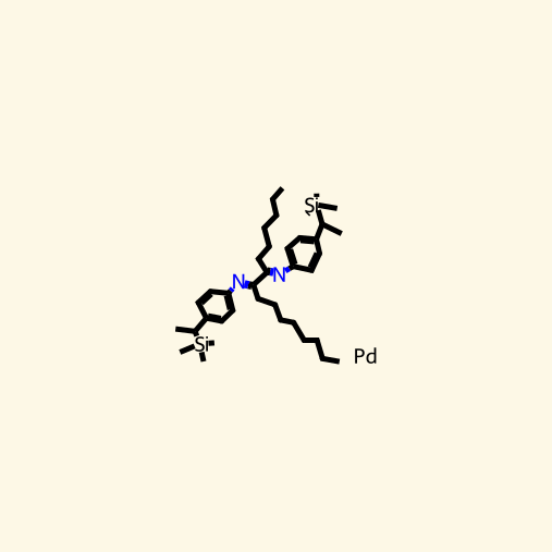 CCCCCCCCC(=N\c1ccc(C(C)[Si](C)(C)C)cc1)/C(CCCCCC)=N/c1ccc(C(C)[Si](C)(C)C)cc1.[Pd]